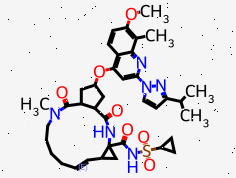 COc1ccc2c(OC3CC4C(=O)NC5(C(=O)NS(=O)(=O)C6CC6)CC5/C=C/CCCCN(C)C(=O)C4C3)cc(-n3ccc(C(C)C)n3)nc2c1C